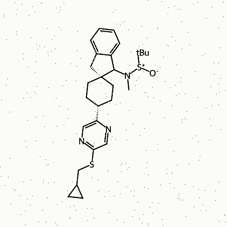 CN(C1c2ccccc2C[C@]12CC[C@@H](c1cnc(SCC3CC3)cn1)CC2)[S+]([O-])C(C)(C)C